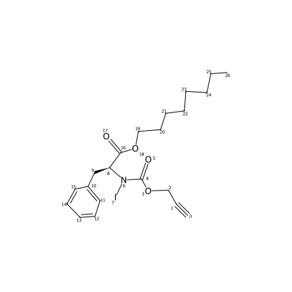 C#CCOC(=O)N(I)[C@@H](Cc1ccccc1)C(=O)OCCCCCCCC